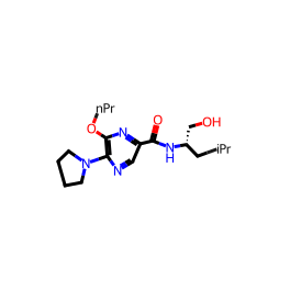 CCCOc1nc(C(=O)N[C@H](CO)CC(C)C)cnc1N1CCCC1